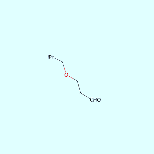 CC(C)COC[CH]C=O